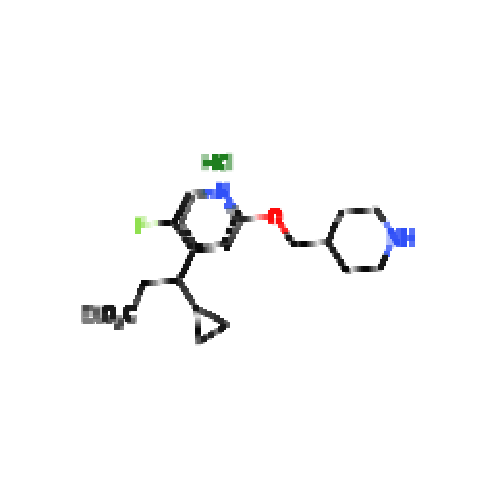 CCOC(=O)CC(c1cc(OCC2CCNCC2)ncc1F)C1CC1.Cl